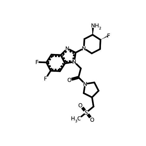 CS(=O)(=O)CC1CCN(C(=O)Cn2c(N3CC[C@@H](F)[C@H](N)C3)nc3cc(F)c(F)cc32)C1